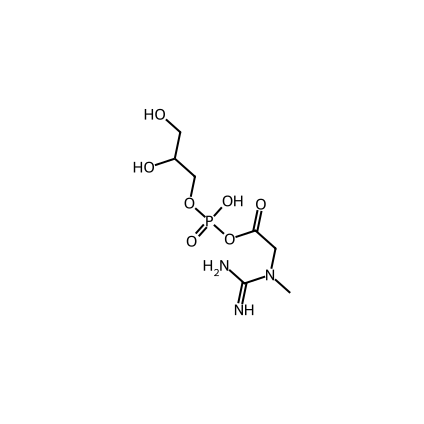 CN(CC(=O)OP(=O)(O)OCC(O)CO)C(=N)N